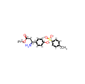 Cc1ccc(S(=O)(=O)Oc2ccc(C(N)CC(=O)OC(C)C)cc2)cc1